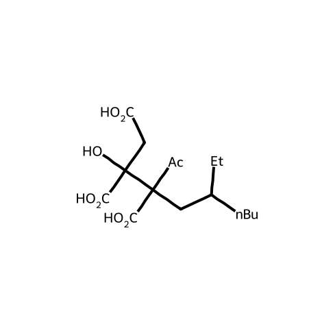 CCCCC(CC)CC(C(C)=O)(C(=O)O)C(O)(CC(=O)O)C(=O)O